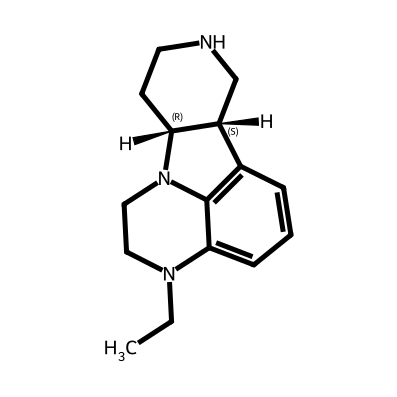 CCN1CCN2c3c(cccc31)[C@H]1CNCC[C@H]12